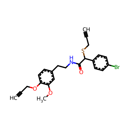 C#CCOc1ccc(CCNC(=O)C(SCC#C)c2ccc(Br)cc2)cc1OC